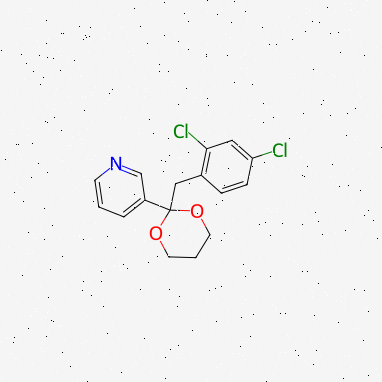 Clc1ccc(CC2(c3cccnc3)OCCCO2)c(Cl)c1